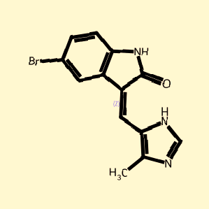 Cc1nc[nH]c1/C=C1\C(=O)Nc2ccc(Br)cc21